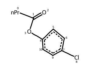 [CH2]CCC(=O)Oc1ccc(Cl)cc1